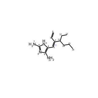 C=C/C(=C\c1[nH]c(N)nc1N)C(CC)CCC